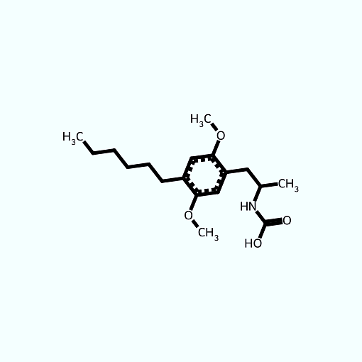 CCCCCCc1cc(OC)c(CC(C)NC(=O)O)cc1OC